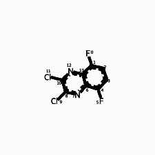 Fc1ccc(F)c2nc(Cl)c(Cl)nc12